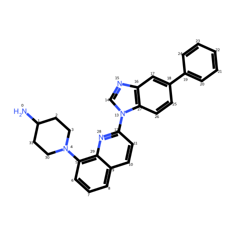 NC1CCN(c2cccc3ccc(-n4cnc5cc(-c6ccccc6)ccc54)nc23)CC1